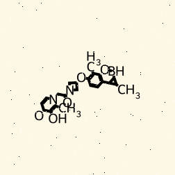 Cc1c(OC2CN(C(=O)Cn3ccc(=O)c(O)c3C)C2)ccc2c1OBC1C(C)C21